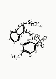 CSc1sc2ccccc2[n+]1C.Cc1ccc(S(=O)(=O)[O-])cc1